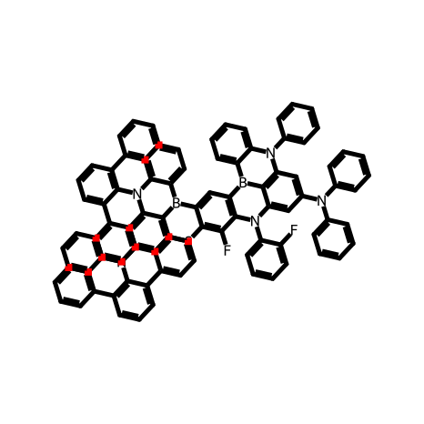 Fc1ccccc1N1c2cc(N(c3ccccc3)c3ccccc3)cc3c2B(c2ccccc2N3c2ccccc2)c2cc3c(c(F)c21)Sc1cc(N(c2ccccc2)c2c(-c4ccccc4)cccc2-c2ccccc2)cc2c1B3c1ccccc1N2c1c(-c2ccccc2)cccc1-c1ccccc1